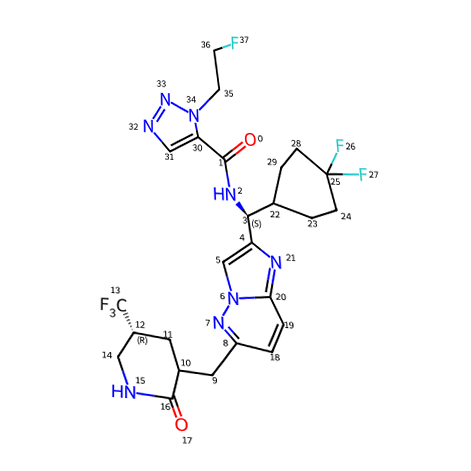 O=C(N[C@H](c1cn2nc(CC3C[C@@H](C(F)(F)F)CNC3=O)ccc2n1)C1CCC(F)(F)CC1)c1cnnn1CCF